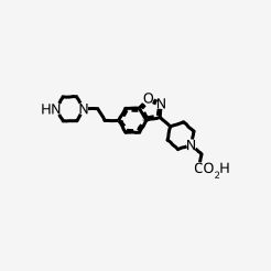 O=C(O)CN1CCC(c2noc3cc(CCN4CCNCC4)ccc23)CC1